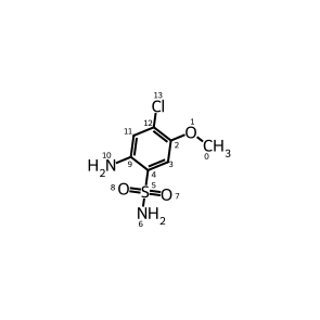 COc1cc(S(N)(=O)=O)c(N)cc1Cl